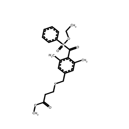 CCOP(=O)(C(=O)c1c(C)cc(CSCCC(=O)OC)cc1C)c1ccccc1